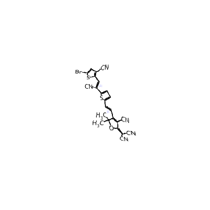 [C-]#[N+]/C(=C\c1sc(Br)cc1C#N)c1ccc(/C=C/C2=C(C#N)C(=C(C#N)C#N)OC2(C)C)s1